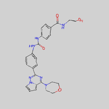 O=C(Nc1ccc(C(=O)NCCO)cc1)Nc1ccc(-c2nc(N3CCOCC3)c3cccn3n2)cc1